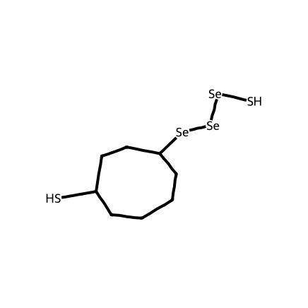 S[Se][Se][Se]C1CCCCC(S)CC1